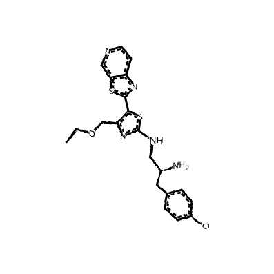 CCOCc1nc(NC[C@@H](N)Cc2ccc(Cl)cc2)sc1-c1nc2ccncc2s1